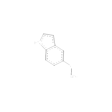 CCCCOc1ccc2[nH]ccc2c1